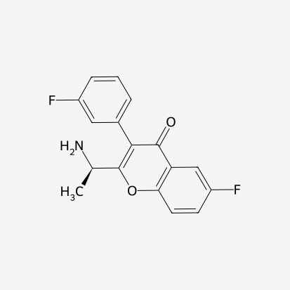 C[C@@H](N)c1oc2ccc(F)cc2c(=O)c1-c1cccc(F)c1